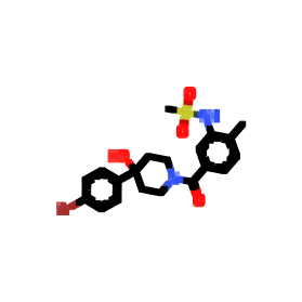 Cc1ccc(C(=O)N2CCC(O)(c3ccc(Br)cc3)CC2)cc1NS(C)(=O)=O